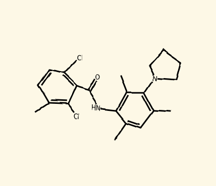 Cc1ccc(Cl)c(C(=O)Nc2c(C)cc(C)c(N3CCCC3)c2C)c1Cl